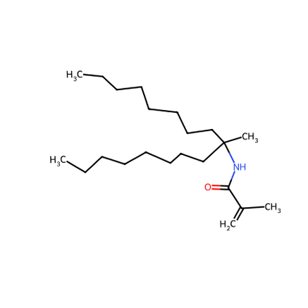 C=C(C)C(=O)NC(C)(CCCCCCCC)CCCCCCCC